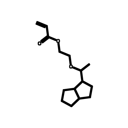 C=CC(=O)OCCOC(C)C1CCC2CCCC21